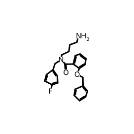 NCCCCN(Cc1ccc(F)cc1)C(=O)c1ccccc1OCc1ccccc1